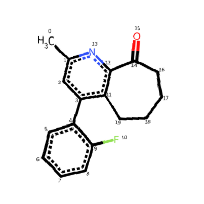 Cc1cc(-c2ccccc2F)c2c(n1)C(=O)CCCC2